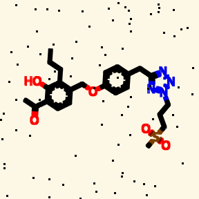 CCCc1c(COc2ccc(Cc3nnn(CCCS(C)(=O)=O)n3)cc2)ccc(C(C)=O)c1O